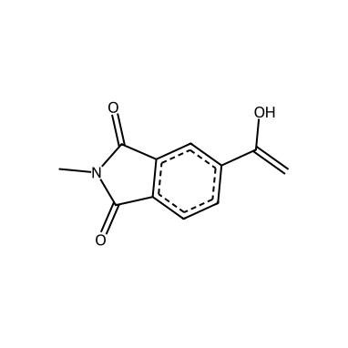 C=C(O)c1ccc2c(c1)C(=O)N(C)C2=O